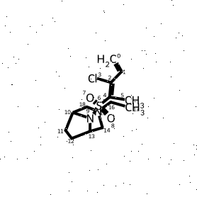 C=C/C(Cl)=C(\C)S(=O)(=O)N1C2CCC1CN(CC)C2